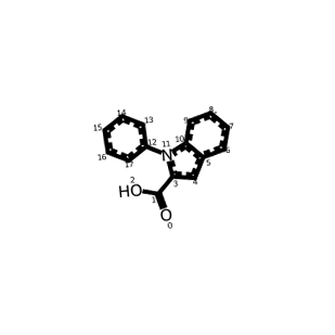 O=C(O)c1cc2cc[c]cc2n1-c1ccccc1